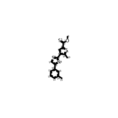 COC(=S)c1cc(-c2nc(-c3cccc(C)c3)cs2)c(C)s1